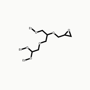 CCOCC(COCC(OCC)OCC)OCC1CO1